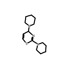 C1=CC(N2CCCCC2)N=C(N2CCCCC2)S1